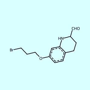 O=CC1CCc2ccc(OCCCBr)cc2N1